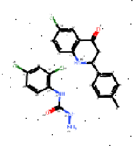 Cc1ccc(C2CC(=O)c3cc(Cl)ccc3N2)cc1.NNC(=O)Nc1ccc(Cl)cc1Cl